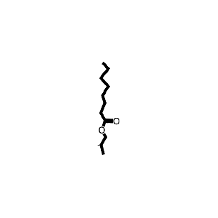 C[CH]COC(=O)CCCCCCC